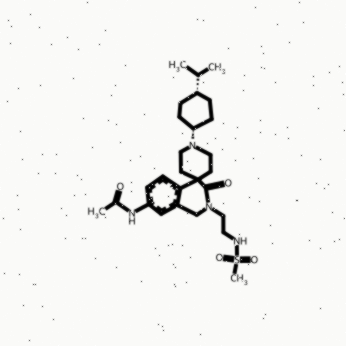 CC(=O)Nc1ccc2c(c1)CN(CCNS(C)(=O)=O)C(=O)C21CCN([C@H]2CC[C@@H](C(C)C)CC2)CC1